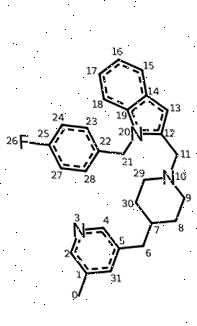 Cc1cncc(CC2CCN(Cc3cc4ccccc4n3Cc3ccc(F)cc3)CC2)c1